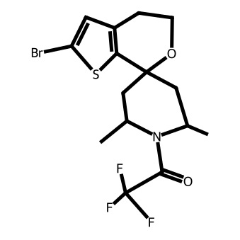 CC1CC2(CC(C)N1C(=O)C(F)(F)F)OCCc1cc(Br)sc12